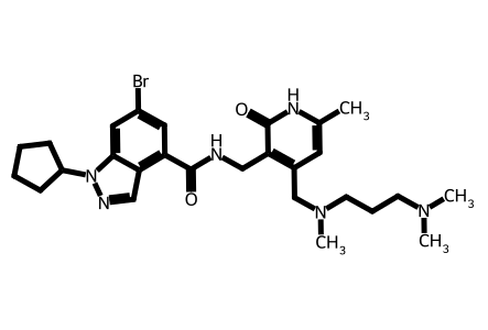 Cc1cc(CN(C)CCCN(C)C)c(CNC(=O)c2cc(Br)cc3c2cnn3C2CCCC2)c(=O)[nH]1